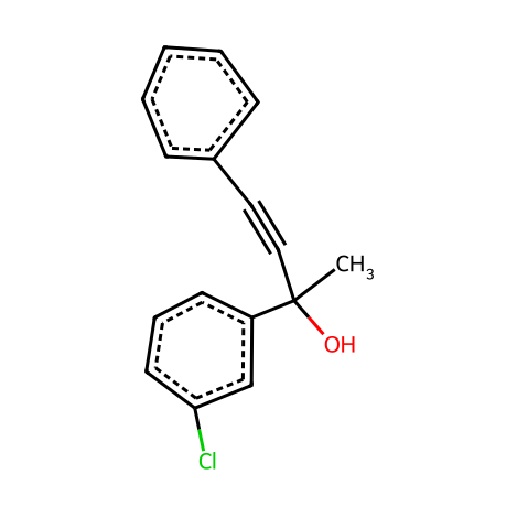 CC(O)(C#Cc1ccccc1)c1cccc(Cl)c1